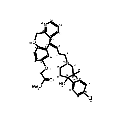 COC(=O)COc1ccc2c(c1)C(=CCCN1CCC(O)(c3ccc(Cl)cc3)C(C)(C)C1)c1cccnc1CO2